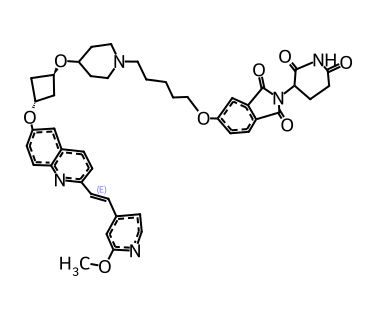 COc1cc(/C=C/c2ccc3cc(O[C@H]4C[C@H](OC5CCN(CCCCCOc6ccc7c(c6)C(=O)N(C6CCC(=O)NC6=O)C7=O)CC5)C4)ccc3n2)ccn1